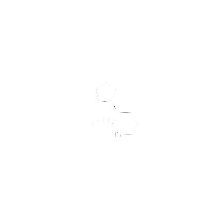 C1CNC[C@@H](N2CCCC2)C1.Cl.Cl